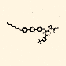 CCCCCCCOc1ccc(-c2cnc(-c3ccc(C[C@H](NC(=O)c4ccc(C(C)(C)C)s4)C(=O)N4CC[C@H]4C(=O)O)cc3)nc2)cc1